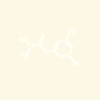 Cc1cc(C)cc(OC(=O)N(C)C)c1